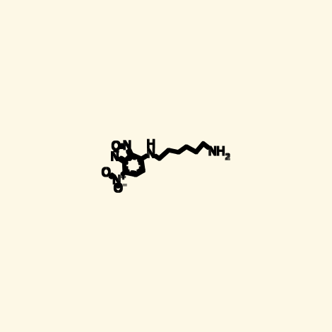 NCCCCCCNc1ccc([N+](=O)[O-])c2nonc12